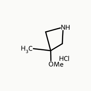 COC1(C)CNC1.Cl